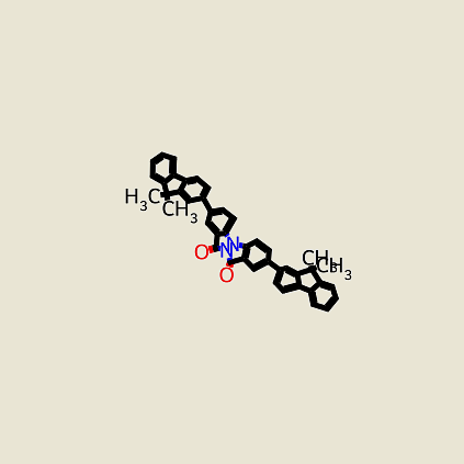 CC1(C)c2ccccc2-c2ccc(-c3ccc4c(c3)c(=O)n3c(=O)c5cc(-c6ccc7c(c6)C(C)(C)c6ccccc6-7)ccc5n43)cc21